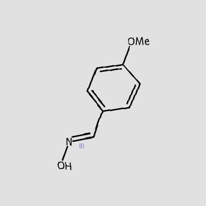 COc1ccc(/C=N/O)cc1